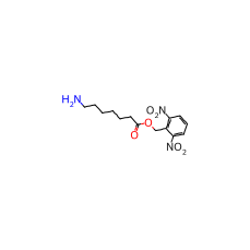 NCCCCCCC(=O)OCc1c([N+](=O)[O-])cccc1[N+](=O)[O-]